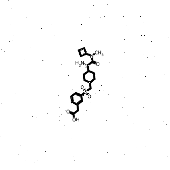 CN(C(=O)[C@@H](N)C1CCC(CS(=O)(=O)c2cccc(CC(=O)O)c2)CC1)C1CCC1